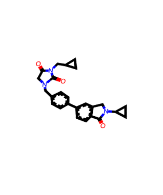 O=C1CN(Cc2ccc(-c3ccc4c(c3)CN(C3CC3)C4=O)cc2)C(=O)N1CC1CC1